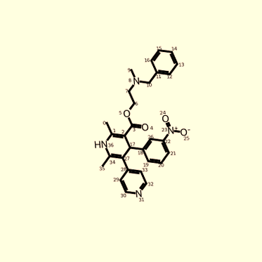 CC1=C(C(=O)OCCN(C)Cc2ccccc2)C(c2cccc([N+](=O)[O-])c2)C(c2ccncc2)=C(C)N1